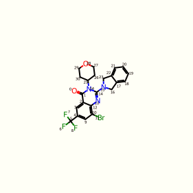 O=c1c2cc(C(F)(F)F)cc(Br)c2nc(N2Cc3ccccc3C2)n1C1CCOCC1